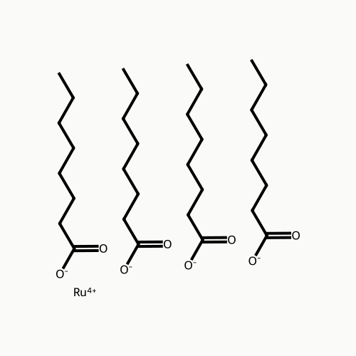 CCCCCCCC(=O)[O-].CCCCCCCC(=O)[O-].CCCCCCCC(=O)[O-].CCCCCCCC(=O)[O-].[Ru+4]